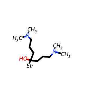 C[CH]C(O)(CCCN(C)C)CCCN(C)C